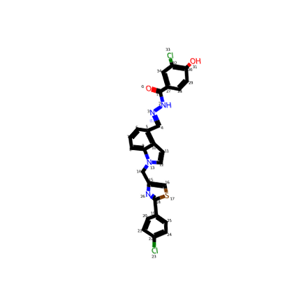 O=C(N/N=C/c1cccc2c1ccn2Cc1csc(-c2ccc(Cl)cc2)n1)c1ccc(O)c(Cl)c1